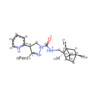 CCCCCC1=NN(C(=O)NC[C@@H]2CC[C@H]3C[C@@H]2C3(C)C)CC1c1ccccn1